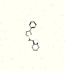 O=C(c1onc2c1CCCC2)N1CCC(c2ccccc2)C1